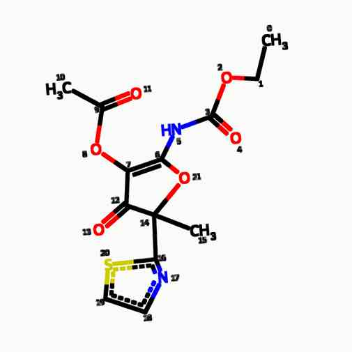 CCOC(=O)NC1=C(OC(C)=O)C(=O)C(C)(c2nccs2)O1